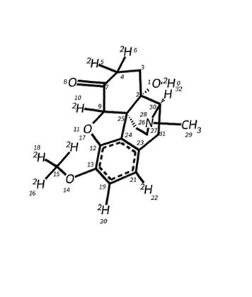 [2H]O[C@@]12CC([2H])([2H])C(=O)C3([2H])Oc4c(OC([2H])([2H])[2H])c([2H])c([2H])c5c4[C@@]31CCN(C)[C@@H]2C5